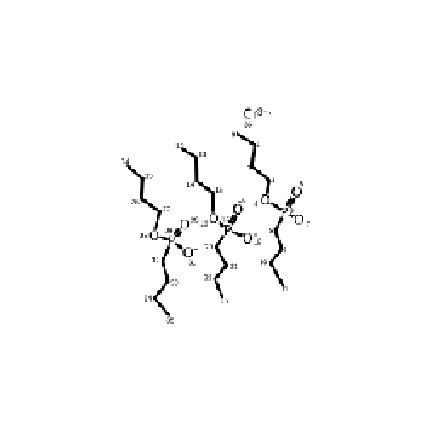 CCCCOP(=O)([O-])CCCC.CCCCOP(=O)([O-])CCCC.CCCCOP(=O)([O-])CCCC.[Cr+3]